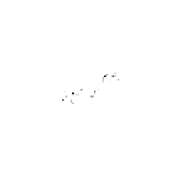 N#Cc1c(Cl)cccc1NC(=O)[C@@H]1CC[C@H]2[C@@H]3CCC4[C@H](C=Cc5nccn54)[C@H]3CC[C@@H]21